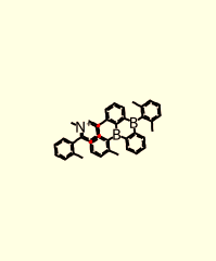 Cc1ccccc1-c1ccc(-c2cccc3c2B(c2c(C)cccc2C)c2ccccc2B3c2c(C)cccc2C)c[n+]1C